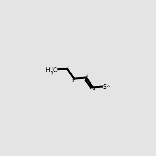 CCCC=C[S]